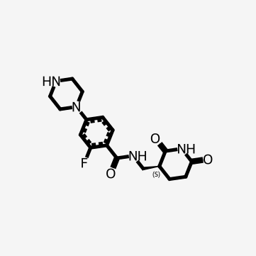 O=C1CC[C@@H](CNC(=O)c2ccc(N3CCNCC3)cc2F)C(=O)N1